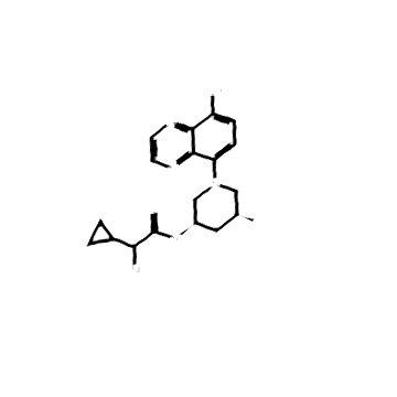 C[C@H]1C[C@@H](NC(=O)C(N)C2CC2)CN(c2ccc(C#N)c3nccnc23)C1